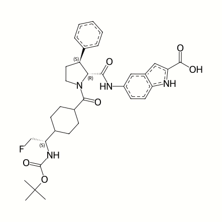 CC(C)(C)OC(=O)N[C@H](CF)C1CCC(C(=O)N2CC[C@@H](c3ccccc3)[C@@H]2C(=O)Nc2ccc3[nH]c(C(=O)O)cc3c2)CC1